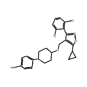 Oc1ccc(C2CCC(OCc3c(-c4c(Cl)cccc4Cl)noc3C3CC3)CC2)cc1